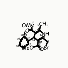 COC(=O)C1=C(C)NC(CBr)=C(C(=O)OC)C1c1ccccc1F